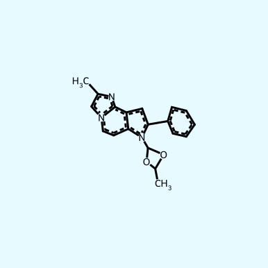 Cc1cn2ccc3c(cc(-c4ccccc4)n3C3OC(C)O3)c2n1